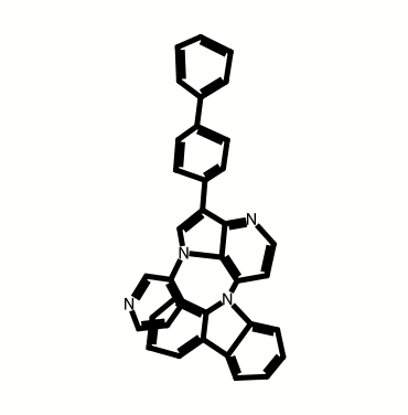 c1ccc(-c2ccc(-c3cn(-c4cccnc4)c4c(-n5c6ccccc6c6ccccc65)ccnc34)cc2)cc1